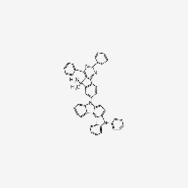 C[Si]1(C)c2cc(-n3c4ccccc4c4c5c6ccccc6n(-c6ccccc6)c5ccc43)ccc2-c2nc(-c3ccccc3)nc(-c3ccccc3)c21